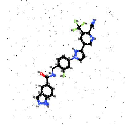 N#Cc1ncc(-c2ccn(-c3ccc(CNC(=O)c4ccc5[nH]ncc5c4)c(F)c3)n2)cc1C(F)(F)F